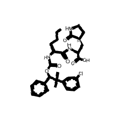 CCCCC(NC(=O)OC(c1ccccc1)C(C)(C)c1cccc(Cl)c1)C(=O)NC(C[C@@H]1CCNC1=O)C(=O)O